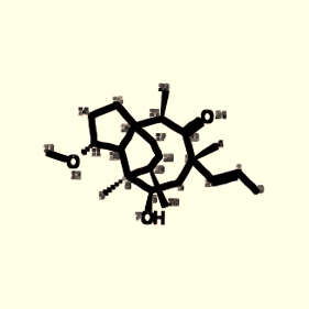 CC=C[C@]1(C)C[C@@H](O)[C@@]2(C)C3[C@H](OC)CCC3(CC[C@H]2C)[C@@H](C)C1=O